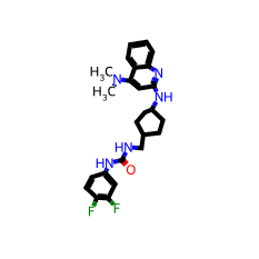 CN(C)c1cc(NC2CCC(CNC(=O)Nc3ccc(F)c(F)c3)CC2)nc2ccccc12